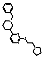 c1ccc(CN2CCCC(c3ccnc(SCCN4CCCC4)n3)C2)cc1